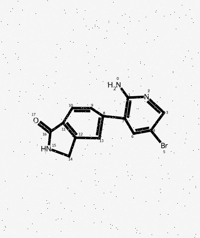 Nc1ncc(Br)cc1-c1ccc2c(c1)CNC2=O